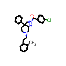 O=C(NCC1(c2ccccc2)CCN(CCc2ccccc2C(F)(F)F)CC1)c1ccc(Cl)cc1